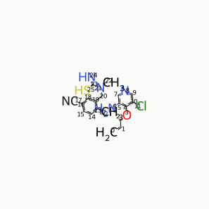 C=CCOc1c(N)cncc1Cl.Cc1ccc(C#N)cc1CN(C)C(=N)S